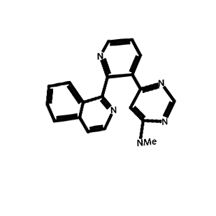 CNc1cc(-c2cccnc2-c2nccc3ccccc23)ncn1